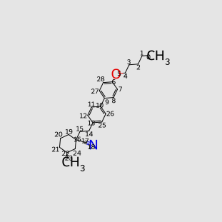 CCCCCOc1ccc(-c2ccc(CCC3(C#N)CCCC(C)C3)cc2)cc1